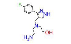 NCCN(CCO)Cc1c[nH]nc1-c1ccc(F)cc1